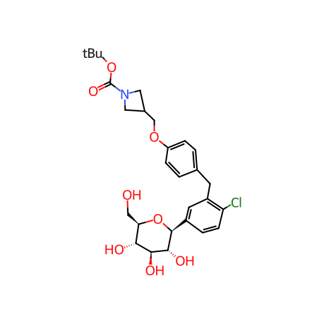 CC(C)(C)OC(=O)N1CC(COc2ccc(Cc3cc([C@@H]4O[C@H](CO)[C@@H](O)[C@H](O)[C@H]4O)ccc3Cl)cc2)C1